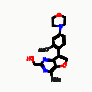 CNc1nc(CO)nc2c(-c3ccc(N4CCOCC4)cc3OC)coc12